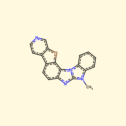 Cn1c2ccccc2n2c3c(ccc4c5ccncc5sc43)nc12